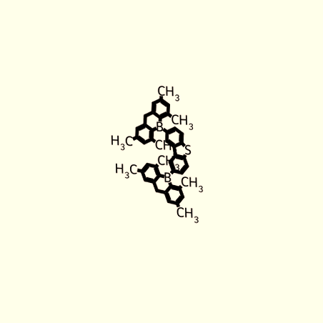 Cc1cc(C)c2c(c1)Cc1cc(C)cc(C)c1B2c1ccc2sc3ccc(B4c5c(C)cc(C)cc5Cc5cc(C)cc(C)c54)cc3c2c1